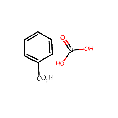 O=C(O)c1ccccc1.O=[Si](O)O